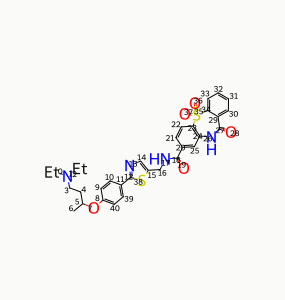 CCN(CC)CCC(C)Oc1ccc(-c2ncc(CNC(=O)c3ccc4c(c3)NC(=O)c3ccccc3S4(=O)=O)s2)cc1